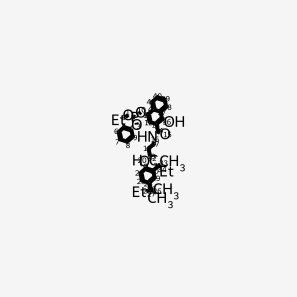 CCOP(Oc1ccccc1)Oc1cc(C(=O)NCCCOc2ccc(C(C)(C)CC)cc2C(C)(C)CC)c(O)c2ccccc12